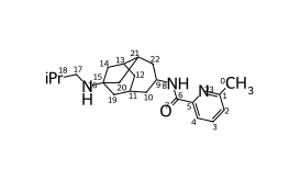 Cc1cccc(C(=O)NC2CC3CC4CC(NCC(C)C)(C3)CC4C2)n1